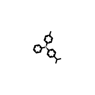 Cc1ccc(N(c2ccccc2)c2ccc(C(C)C)cc2)cc1